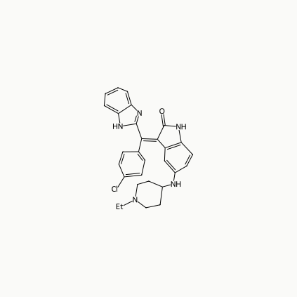 CCN1CCC(Nc2ccc3c(c2)/C(=C(\c2ccc(Cl)cc2)c2nc4ccccc4[nH]2)C(=O)N3)CC1